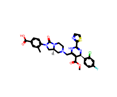 COC(=O)C1=C(CN2CCN3C(=O)N(c4ccc(C(=O)O)cc4C)C[C@@H]3C2)NC(c2nccs2)=N[C@H]1c1ccc(F)cc1Cl